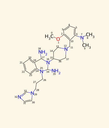 COc1cccc(N(C)C)c1CN1CCC(N2C(N)c3ccccc3N(CCCn3ccnc3)C2N)CC1